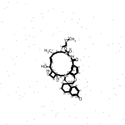 COCC[C@H]1C[C@@H](C)/C=C/[C@H](O)[C@@H]2CC[C@H]2CN2C[C@@]3(CCCc4cc(Cl)ccc43)COc3ccc(cc32)C(=O)NS1(=O)=O